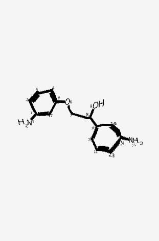 Nc1cccc(OCC(O)c2cccc(N)c2)c1